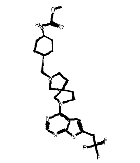 COC(=O)N[C@H]1CC[C@@H](CN2CCC3(CCN(c4ncnc5sc(CC(F)(F)F)cc45)C3)C2)CC1